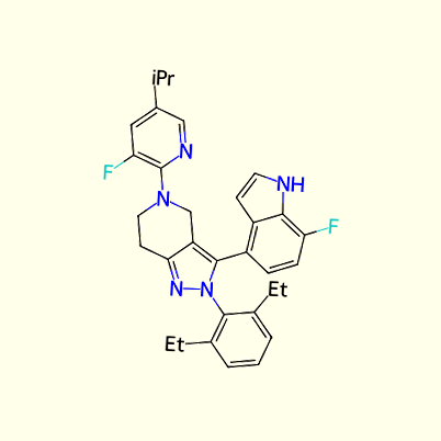 CCc1cccc(CC)c1-n1nc2c(c1-c1ccc(F)c3[nH]ccc13)CN(c1ncc(C(C)C)cc1F)CC2